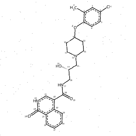 Cc1cc(Cl)ccc1OC1CCN(C[C@@H](O)CNC(=O)c2c[nH]c(=O)c3ccccc23)CC1